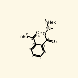 CCCCCCNOC(=O)c1ccccc1C(=O)CCCC